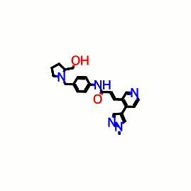 Cn1cc(-c2ccncc2C=CC(=O)Nc2ccc(CN3CCCC3CO)cc2)cn1